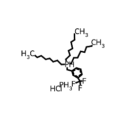 CCCCCCCC[PH](CCCCCCCC)(CCCCCCCC)Cc1cccc(C(F)(F)F)c1.Cl.P